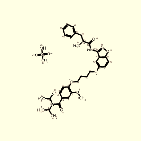 COc1cc(C(=O)N(C(C)C)C(C)C)ccc1OCCCCOc1ccc2onc(NC(=O)[C@@H](N)Cc3ccccc3)c2c1.CS(=O)(=O)O